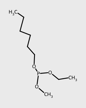 CCCCCCOP(OC)OCC